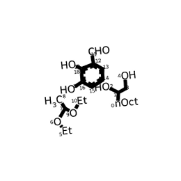 CCCCCCCCC(O)CO.CCOC(C)OCC.O=Cc1cccc(O)c1O